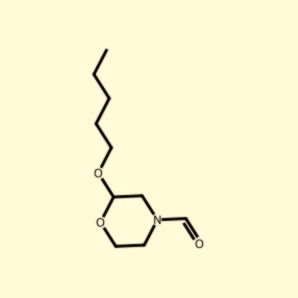 CCCCCOC1CN(C=O)CCO1